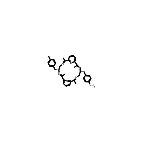 C/C1=N\C[C@H](Cc2ccc(N)cc2)/N=C(\C)c2cccc(n2)/C(C)=N/C[C@H](Cc2ccc(C)cc2)/N=C(\C)c2cccc1n2